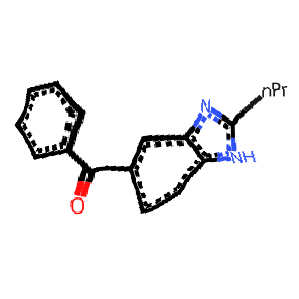 CCCc1nc2cc(C(=O)c3ccccc3)ccc2[nH]1